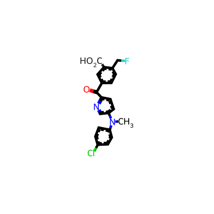 CN(c1ccc(Cl)cc1)c1ccc(C(=O)c2ccc(CF)c(C(=O)O)c2)nc1